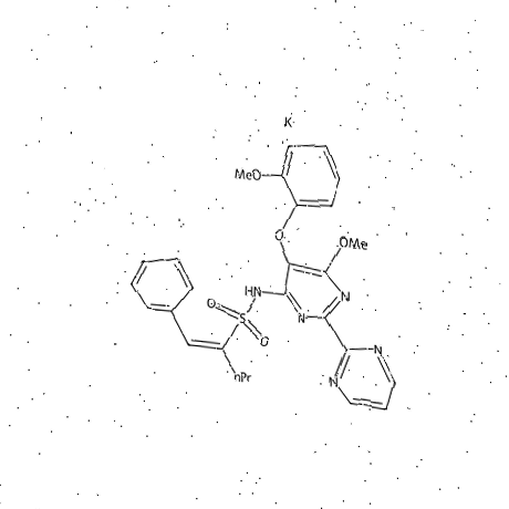 CCCC(=Cc1ccccc1)S(=O)(=O)Nc1nc(-c2ncccn2)nc(OC)c1Oc1ccccc1OC.[K]